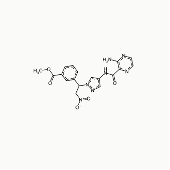 COC(=O)c1cccc(C(C[N+](=O)[O-])n2cc(NC(=O)c3nccnc3N)cn2)c1